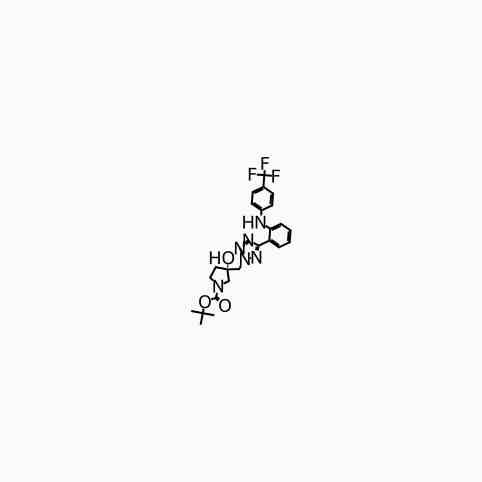 CC(C)(C)OC(=O)N1CC[C@@](O)(Cn2nnc(-c3ccccc3Nc3ccc(C(F)(F)F)cc3)n2)C1